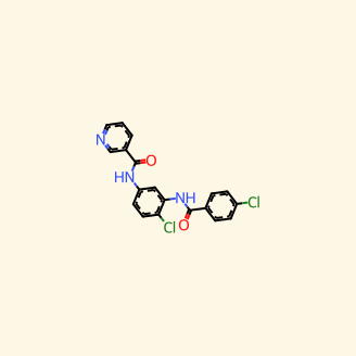 O=C(Nc1ccc(Cl)c(NC(=O)c2ccc(Cl)cc2)c1)c1cccnc1